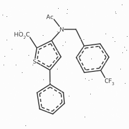 CC(=O)N(Cc1ccc(C(F)(F)F)cc1)c1cc(-c2ccccc2)sc1C(=O)O